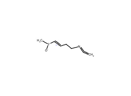 C=C=NCC/C=C/[S+](C)[O-]